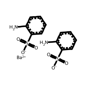 Nc1ccccc1S(=O)(=O)[O-].Nc1ccccc1S(=O)(=O)[O-].[Ba+2]